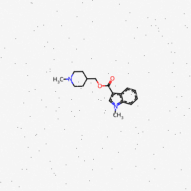 CN1CCC(COC(=O)c2cn(C)c3ccccc23)CC1